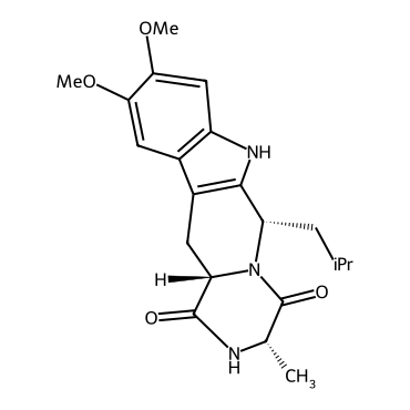 COc1cc2[nH]c3c(c2cc1OC)C[C@H]1C(=O)N[C@@H](C)C(=O)N1[C@H]3CC(C)C